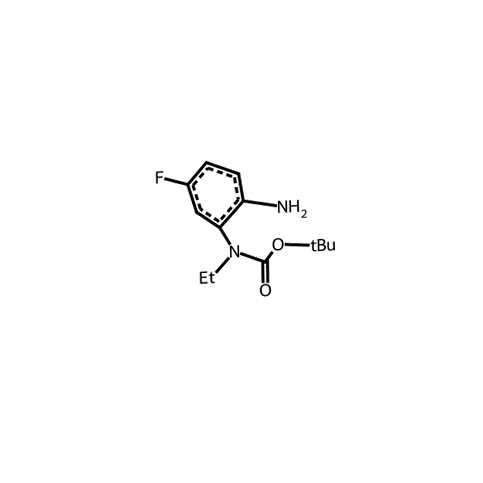 [CH2]CN(C(=O)OC(C)(C)C)c1cc(F)ccc1N